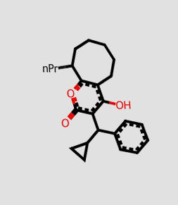 CCCC1CCCCCc2c1oc(=O)c(C(c1ccccc1)C1CC1)c2O